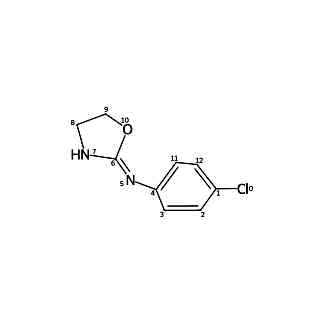 Clc1ccc(N=C2NCCO2)cc1